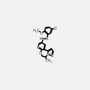 COc1ccc(Cl)cc1SNc1cnc2c(c1)-c1ccnn1C(C)CO2